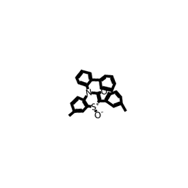 Cc1ccc2c(c1)[S+]([O-])c1c(oc3ccc(C)cc13)N2c1ccccc1-c1ccccc1